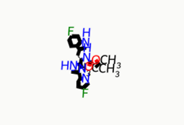 CC(C)(C)OC(=O)N[C@@H](Cc1c[nH]c2cc(F)ccc12)c1nc(-c2ccc(F)cn2)c[nH]1